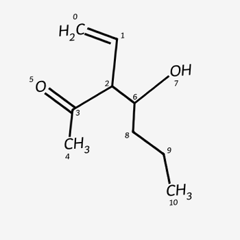 C=CC(C(C)=O)C(O)CCC